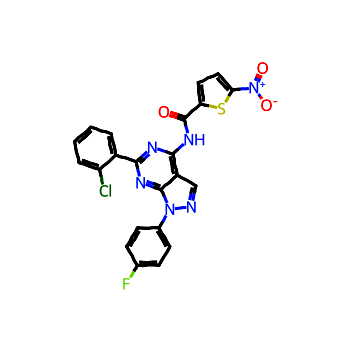 O=C(Nc1nc(-c2ccccc2Cl)nc2c1cnn2-c1ccc(F)cc1)c1ccc([N+](=O)[O-])s1